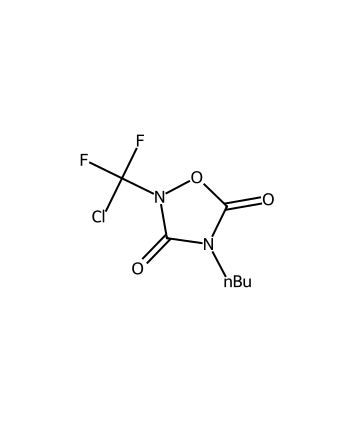 CCCCn1c(=O)on(C(F)(F)Cl)c1=O